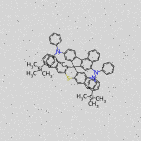 C[Si](C)(C)c1ccc(N(c2ccccc2)c2ccc3c(c2)C2(c4cc5ccccc5cc4Sc4cc5cccnc5cc42)c2cc(N(c4ccccc4)c4ccc([Si](C)(C)C)cc4)c4ccccc4c2-3)cc1